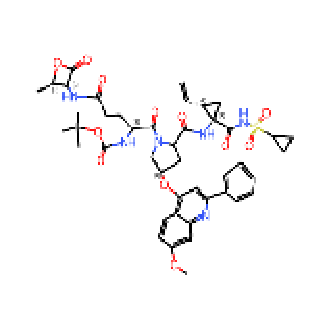 C=C[C@@H]1C[C@]1(NC(=O)C1C[C@@H](Oc2cc(-c3ccccc3)nc3cc(OC)ccc23)CN1C(=O)[C@H](CCC(=O)N[C@@H]1C(=O)O[C@@H]1C)NC(=O)OC(C)(C)C)C(=O)NS(=O)(=O)C1CC1